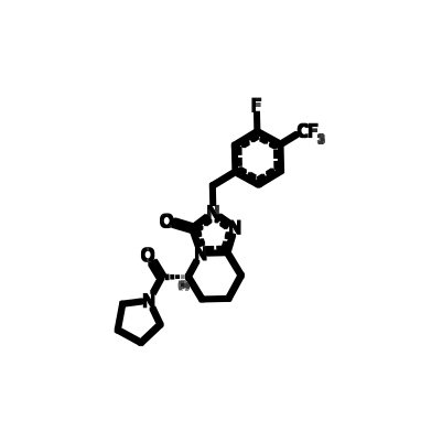 O=C([C@H]1CCCc2nn(Cc3ccc(C(F)(F)F)c(F)c3)c(=O)n21)N1CCCC1